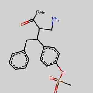 COC(=O)C(CN)C(Cc1ccccc1)c1ccc(OS(C)(=O)=O)cc1